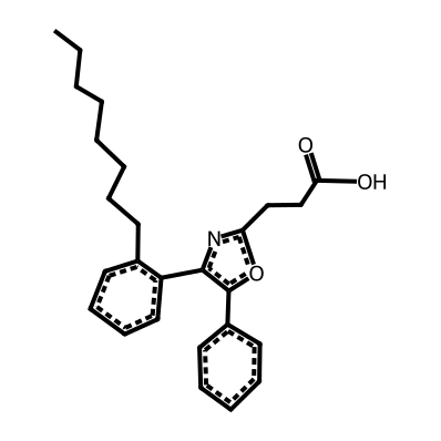 CCCCCCCCc1ccccc1-c1nc(CCC(=O)O)oc1-c1ccccc1